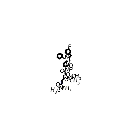 CN(C)C(=O)/C=C/CC[C@H](OC(=O)N(C)C)C(=O)Nc1cccn(Cc2cc3cc(F)ccc3n2Cc2ccccc2)c1=O